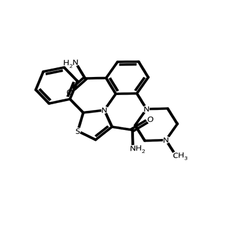 CN1CCN(c2cccc(C(N)=O)c2N2C(C(N)=O)=CSC2c2ccccc2)CC1